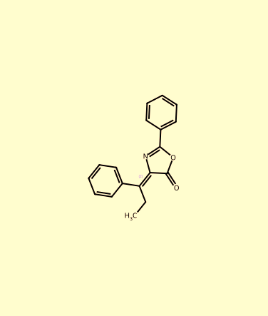 CC/C(=C1/N=C(c2ccccc2)OC1=O)c1ccccc1